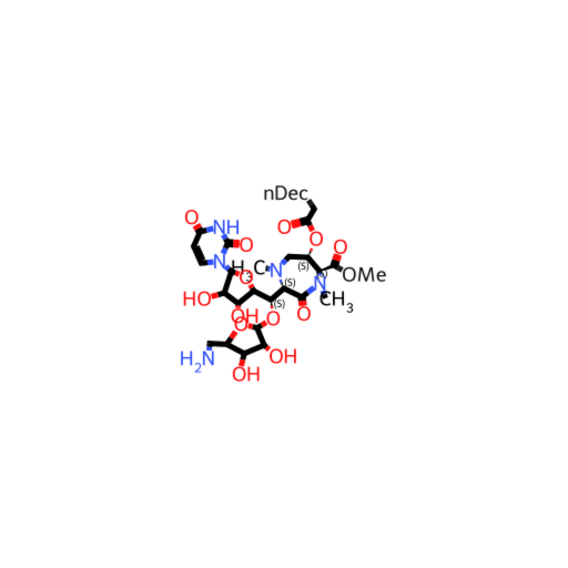 CCCCCCCCCCCC(=O)O[C@H]1CN(C)[C@@H]([C@H](OC2OC(CN)C(O)C2O)C2OC(n3ccc(=O)[nH]c3=O)C(O)C2O)C(=O)N(C)[C@@H]1C(=O)OC